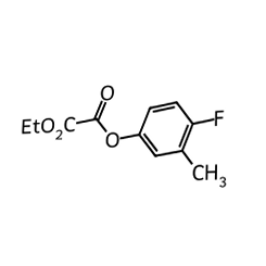 CCOC(=O)C(=O)Oc1ccc(F)c(C)c1